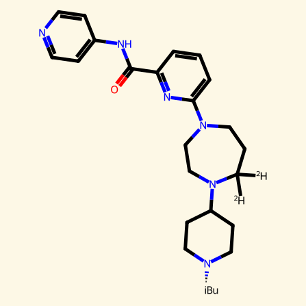 [2H]C1([2H])CCN(c2cccc(C(=O)Nc3ccncc3)n2)CCN1C1CCN([C@@H](C)CC)CC1